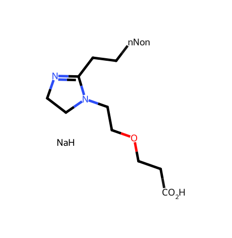 CCCCCCCCCCCC1=NCCN1CCOCCC(=O)O.[NaH]